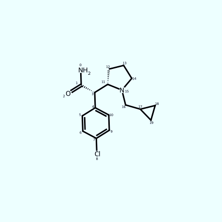 NC(=O)[C@@H](c1ccc(Cl)cc1)[C@@H]1CCCN1CC1CC1